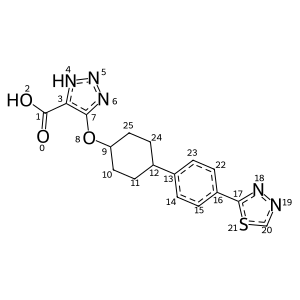 O=C(O)c1[nH]nnc1OC1CCC(c2ccc(-c3nncs3)cc2)CC1